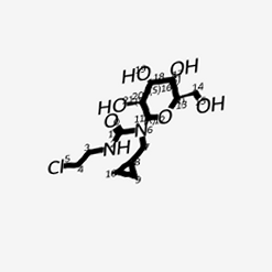 O=C(NCCCl)N(CC1CC1)[C@@H]1O[C@H](CO)[C@@H](O)[C@H](O)[C@@H]1O